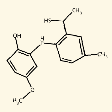 COc1ccc(O)c(Pc2ccc(C)cc2C(C)S)c1